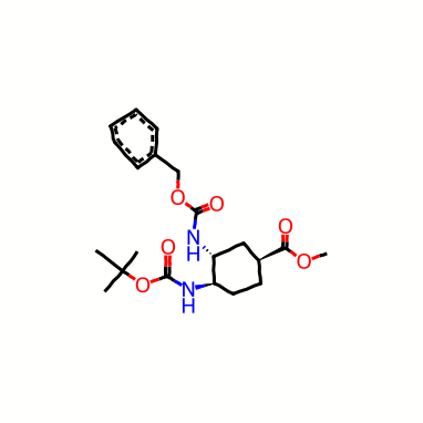 COC(=O)[C@H]1CC[C@@H](NC(=O)OC(C)(C)C)[C@H](NC(=O)OCc2ccccc2)C1